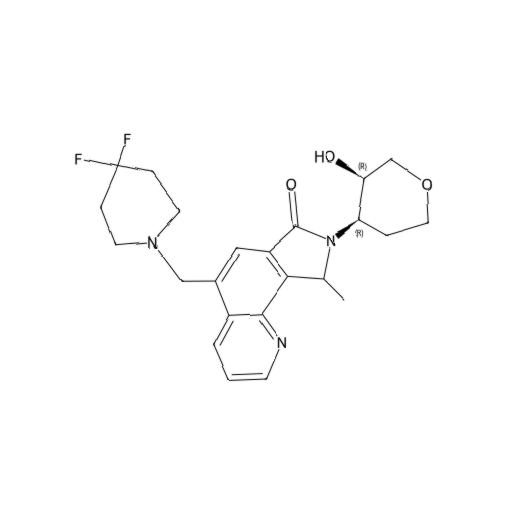 CC1c2c(cc(CN3CCC(F)(F)CC3)c3cccnc23)C(=O)N1[C@@H]1CCOC[C@@H]1O